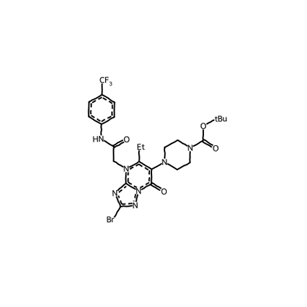 CCc1c(N2CCN(C(=O)OC(C)(C)C)CC2)c(=O)n2nc(Br)nc2n1CC(=O)Nc1ccc(C(F)(F)F)cc1